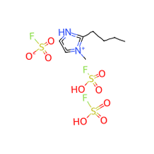 CCCCc1[nH]cc[n+]1C.O=S(=O)(O)F.O=S(=O)(O)F.O=S(=O)([O-])F